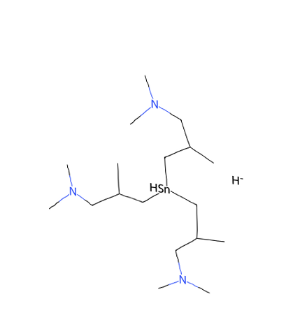 CC(CN(C)C)[CH2][SnH]([CH2]C(C)CN(C)C)[CH2]C(C)CN(C)C.[H-]